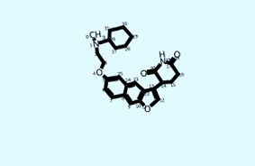 CN(CCOc1ccc2cc3occ(C4CCC(=O)NC4=O)c3cc2c1)C1CCCCC1